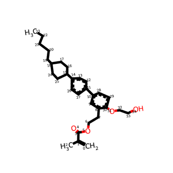 C=C(C)C(=O)OCCc1cc(-c2ccc(C3CCC(CCCCC)CC3)cc2)ccc1OCCO